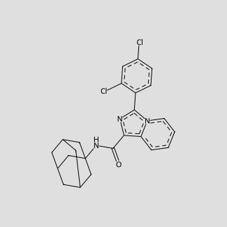 O=C(NC12CC3CC(CC(C3)C1)C2)c1nc(-c2ccc(Cl)cc2Cl)n2ccccc12